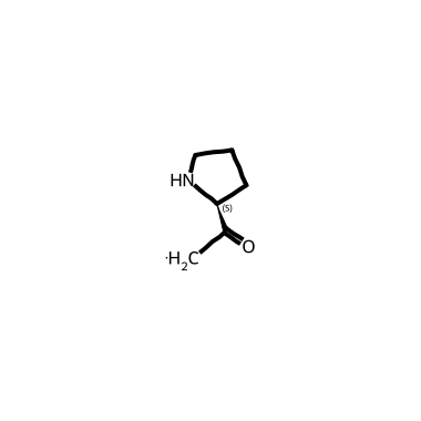 [CH2]C(=O)[C@@H]1CCCN1